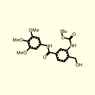 COc1cc(NC(=O)c2ccc(CO)c(NC(=O)OC(C)(C)C)c2)cc(OC)c1OC